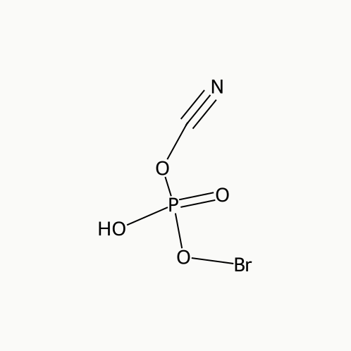 N#COP(=O)(O)OBr